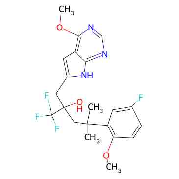 COc1ccc(F)cc1C(C)(C)CC(O)(Cc1cc2c(OC)ncnc2[nH]1)C(F)(F)F